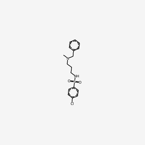 CN(CCCNS(=O)(=O)c1ccc(Cl)cc1)Cc1ccccc1